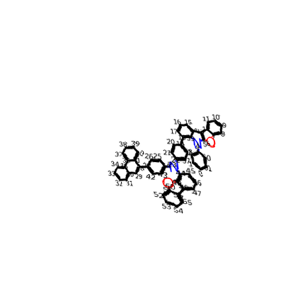 c1ccc(-n2c3oc4ccccc4c3c3cccc(-c4ccc(N(c5ccc(-c6cc7ccccc7c7ccccc67)cc5)c5cccc6c5oc5ccccc56)cc4)c32)cc1